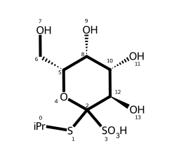 CC(C)SC1(S(=O)(=O)O)O[C@H](CO)[C@H](O)[C@H](O)[C@H]1O